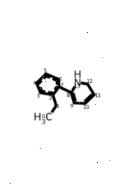 CCc1ccccc1C1=CC=CCN1